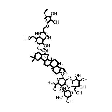 CC[C@@H]1O[C@@H](OCC(=O)N[C@H]2C(CO)O[C@@H](OC(=O)[C@]34CCC(C)(C)CC3C3=CCC5C6(C)CC[C@H](O[C@@H]7OC(C(=O)O)[C@@H](O)[C@H](O[C@@H]8OC[C@@H](O)[C@H](O)C8O)C7O[C@@H]7OC(CO)[C@H](O)[C@H](O)C7O)[C@](C)(C=O)[C@@H]6CCC5(C)[C@]3(C)CC4O)C(O)C2O)C(O)C1O